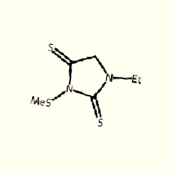 CCN1CC(=S)N(SC)C1=S